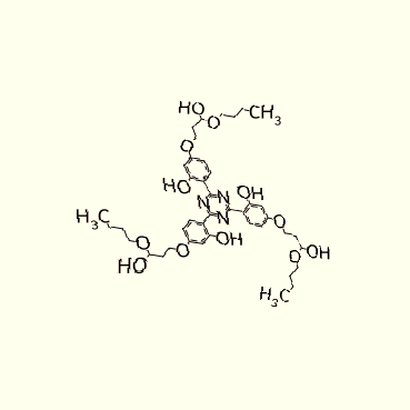 CCCCOC(O)CCOc1ccc(-c2nc(-c3ccc(OCCC(O)OCCCC)cc3O)nc(-c3ccc(OCCC(O)OCCCC)cc3O)n2)c(O)c1